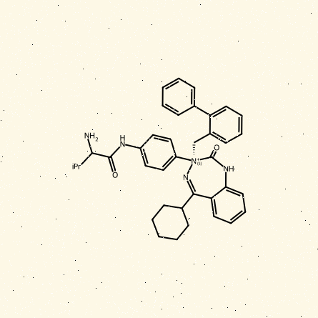 CC(C)C(N)C(=O)Nc1ccc([N@+]2(Cc3ccccc3-c3ccccc3)N=C(C3CCCCC3)c3ccccc3NC2=O)cc1